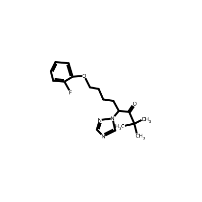 CC(C)(C)C(=O)C(CCCCOc1ccccc1F)n1cncn1